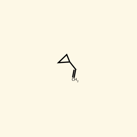 C=[C]C1CC1